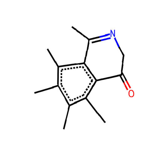 CC1=NCC(=O)c2c(C)c(C)c(C)c(C)c21